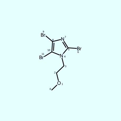 COCCn1c(Br)nc(Br)c1Br